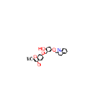 N#Cc1cc(=O)c2ccc(OCc3cc(OCc4ccc5ccccc5n4)ccc3O)cc2o1